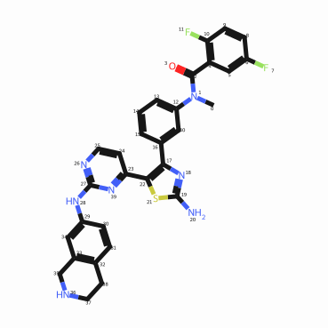 CN(C(=O)c1cc(F)ccc1F)c1cccc(-c2nc(N)sc2-c2ccnc(Nc3ccc4c(c3)CNCC4)n2)c1